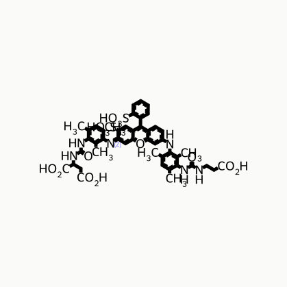 Cc1cc(C)c(NC(=O)NC(CC(=O)O)C(=O)O)c(C)c1/N=c1/cc2oc3cc(Nc4c(C)cc(C)c(NC(=O)NCCC(=O)O)c4C)ccc3c(-c3ccccc3S(=O)(=O)O)c-2cc1S(=O)(=O)O